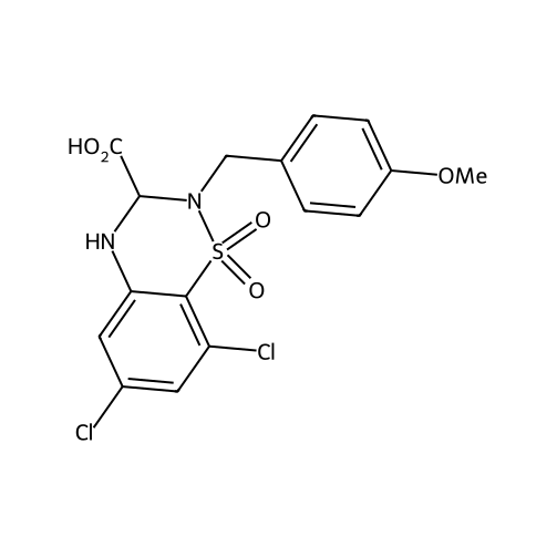 COc1ccc(CN2C(C(=O)O)Nc3cc(Cl)cc(Cl)c3S2(=O)=O)cc1